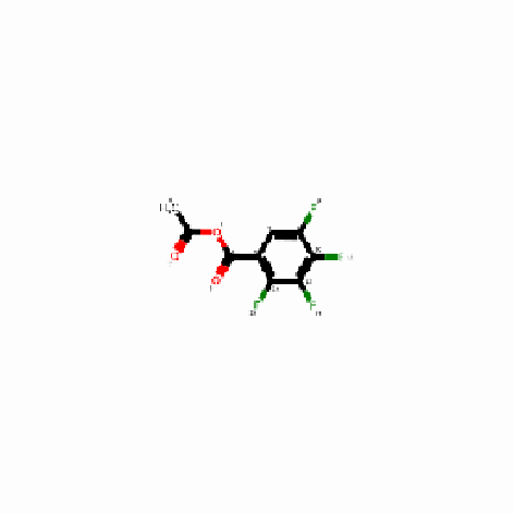 CC(=O)OC(=O)c1cc(F)c(F)c(F)c1F